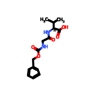 CC(C)[C@H](NC(=O)CNC(=O)OCc1ccccc1)C(=O)O